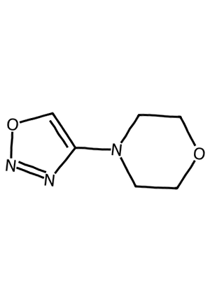 c1onnc1N1CCOCC1